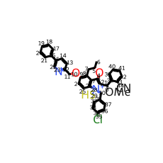 COC(C1=C2OC(C)Cc3c(OCc4ccc(-c5ccccc5)cn4)ccc(c32)[N+]1(S)Cc1ccc(Cl)cc1)c1ccccc1C#N